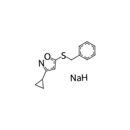 [NaH].c1ccc(CSc2cc(C3CC3)no2)cc1